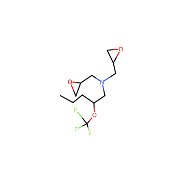 CCCC(CN(CC1CO1)CC1CO1)OC(F)(F)F